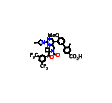 COc1ccc(-c2ccc(C(=O)O)cc2C)cc1-c1cnc(N2CC(C)C2)nc1CN1C(=O)O[C@H](c2cc(C(F)(F)F)cc(C(F)(F)F)c2)C12CCC2